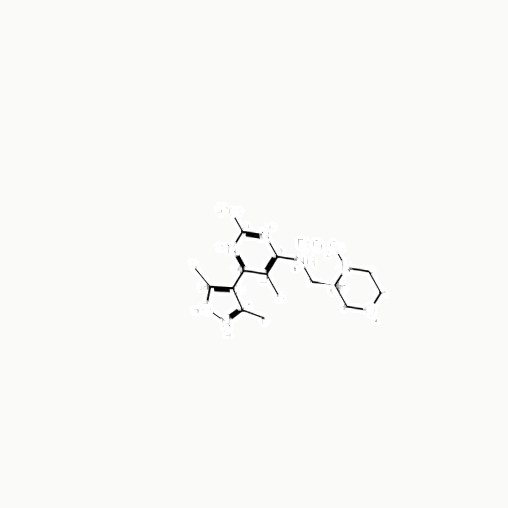 CCOC(=O)N1CCOC[C@H]1CNc1nc(C(C)C)nc(-c2c(C)noc2C)c1C